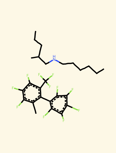 CCCCCCNCC(C)CCC.Cc1c(F)c(F)c(F)c(C(F)(F)F)c1-c1c(F)c(F)c(F)c(F)c1F